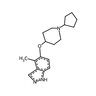 Cc1c(OC2CCN(C3CCCC3)CC2)ccc2[nH]ncc12